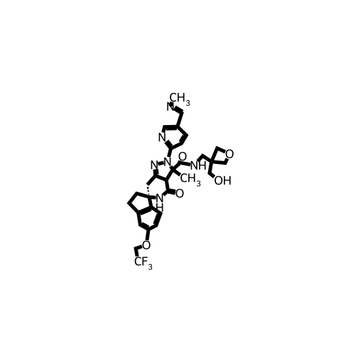 C/N=C/c1ccc(N2N=C3C[C@]4(CCc5cc(OCC(F)(F)F)ccc54)NC(=O)C3C2(C)C(=O)NCC2(CO)COC2)nc1